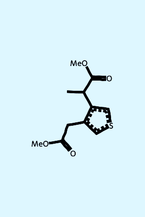 COC(=O)Cc1cscc1C(C)C(=O)OC